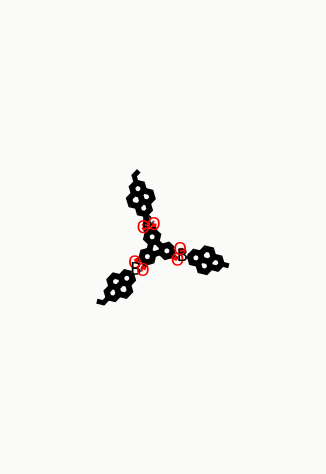 CCc1cc2ccc3cc(B4Oc5cc6c7cc8c(cc7c7cc9c(cc7c6cc5O4)OB(c4cc5ccc6cc(CC)cc7ccc(c4)c5c67)O9)OB(c4cc5ccc6cc(C)cc7ccc(c4)c5c67)O8)cc4ccc(c1)c2c34